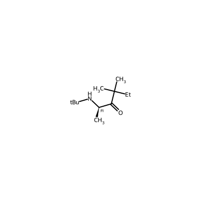 CCC(C)(C)C(=O)[C@@H](C)NC(C)(C)C